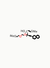 COC=CC(=O)O.COCCOCCOC(C)(C)C#Cc1ccc2ccccc2c1